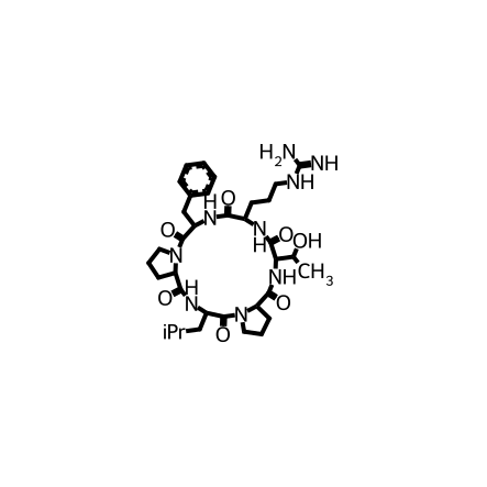 CC(C)CC1NC(=O)C2CCCN2C(=O)C(Cc2ccccc2)NC(=O)C(CCCNC(=N)N)NC(=O)C(C(C)O)NC(=O)C2CCCN2C1=O